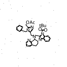 CC(=O)OCc1ncc(CN(Cc2nc3ccccc3n2C(=O)OC(C)(C)C)C2CCCc3cccnc32)n1Cc1ccccc1